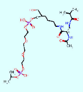 CC(=O)N[C@@H](CNC(=O)C(C)C)C(=O)NCCCCC(CO)COP(=O)(O)OCCOCCOCCOP(=O)(O)OC(C)C